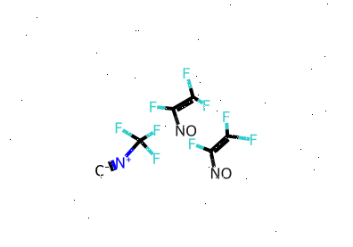 O=NC(F)=C(F)F.O=NC(F)=C(F)F.[C-]#[N+]C(F)(F)F